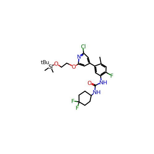 Cc1cc(F)c(NC(=O)NC2CCC(F)(F)CC2)cc1-c1cc(Cl)nc(OCCO[Si](C)(C)C(C)(C)C)c1